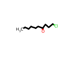 CCCCCCC(=O)CCCCl